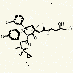 CC[C@@H](CN(C)S(=O)(=O)C1CC1)N1C(=O)[C@](C)(CC(=O)NCCC(O)CO)C[C@H](c2cccc(Cl)c2)[C@H]1c1ccc(Cl)cc1